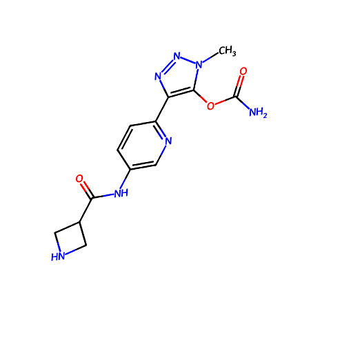 Cn1nnc(-c2ccc(NC(=O)C3CNC3)cn2)c1OC(N)=O